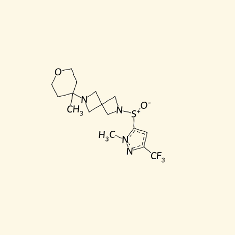 Cn1nc(C(F)(F)F)cc1[S+]([O-])N1CC2(C1)CN(C1(C)CCOCC1)C2